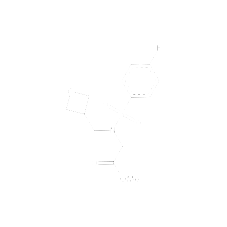 COC(=O)CN(CC1COC1)S(=O)(=O)c1ccc(F)cc1